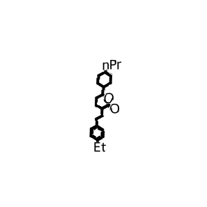 CCCC1CCC(C2CCC(CCc3ccc(CC)cc3)C(=O)O2)CC1